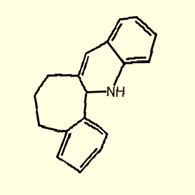 C1=C2CCCc3ccccc3C2Nc2ccccc21